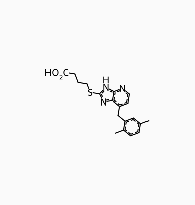 Cc1ccc(C)c(Cc2ccnc3[nH]c(SCCCC(=O)O)nc23)c1